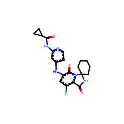 O=C1NC2(CCCCC2)n2c1c(Cl)cc(Nc1ccnc(NC(=O)C3CC3)c1)c2=O